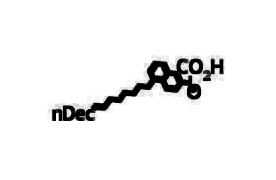 CCCCCCCCCCC=CCCCCCCc1cccc2c(C(=O)O)c(I=O)ccc12